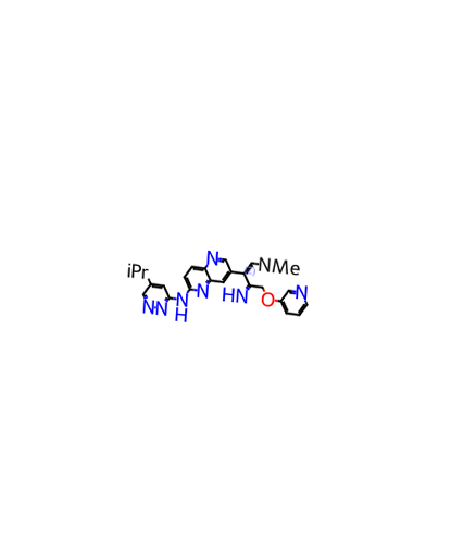 CN/C=C(\C(=N)COc1cccnc1)c1cnc2ccc(Nc3cc(C(C)C)cnn3)nc2c1